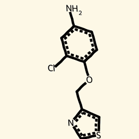 Nc1ccc(OCc2cscn2)c(Cl)c1